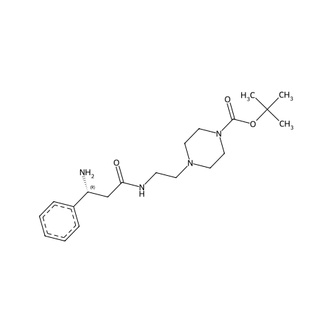 CC(C)(C)OC(=O)N1CCN(CCNC(=O)C[C@@H](N)c2ccccc2)CC1